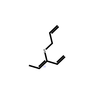 C=CCS/C(C=C)=C\C